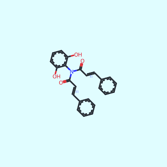 O=C(/C=C/c1ccccc1)N(C(=O)/C=C/c1ccccc1)c1c(O)cccc1O